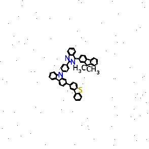 CC1(C)c2ccccc2-c2ccc(-c3nc(-c4ccc(-n5c6ccccc6c6ccc(-c7ccc8sc9ccccc9c8c7)cc65)cc4)nc4ccccc34)cc21